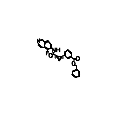 O=C(OCc1ccccc1)c1cccc([C@@H]2C[C@H]2C(=O)Nc2ccc3cnccc3c2F)c1